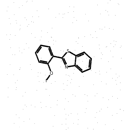 IOc1ccccc1-c1nc2ccccc2s1